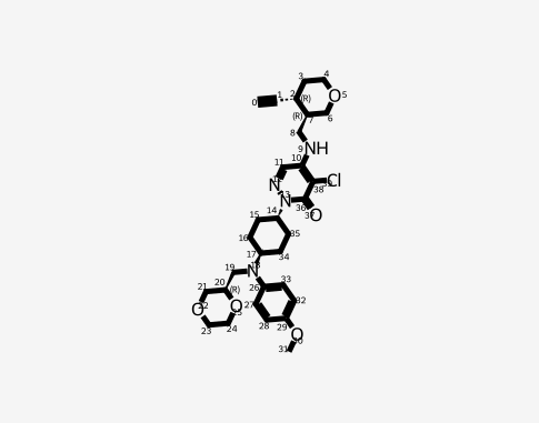 C#C[C@@H]1CCOC[C@H]1CNc1cnn([C@H]2CC[C@H](N(C[C@@H]3COCCO3)c3ccc(OC)cc3)CC2)c(=O)c1Cl